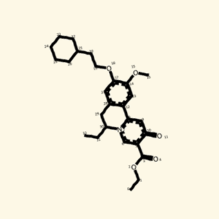 CCOC(=O)c1cn2c(cc1=O)-c1cc(OC)c(OCCC3CCCCC3)cc1CC2CC